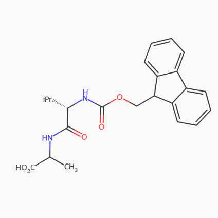 CC(NC(=O)[C@@H](NC(=O)OCC1c2ccccc2-c2ccccc21)C(C)C)C(=O)O